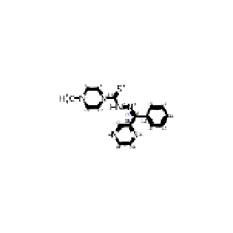 CN1CCN(C(=S)N/N=C(/c2ccccc2)c2cnccn2)CC1